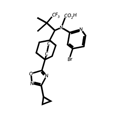 CC(C)(C(N(C(=O)O)c1cc(Br)ccn1)C12CCC(c3nc(C4CC4)no3)(CC1)CC2)C(F)(F)F